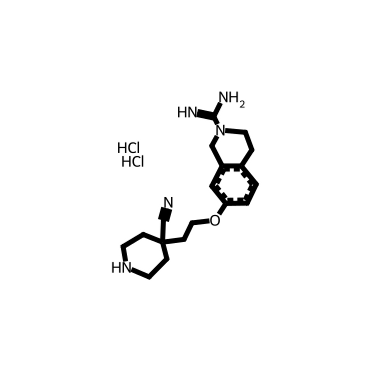 Cl.Cl.N#CC1(CCOc2ccc3c(c2)CN(C(=N)N)CC3)CCNCC1